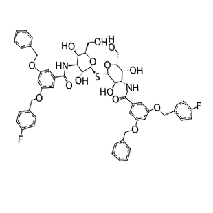 O=C(N[C@H]1[C@@H](O)[C@@H](CO)O[C@@H](S[C@@H]2O[C@H](CO)[C@H](O)[C@H](NC(=O)c3cc(OCc4ccccc4)cc(OCc4ccc(F)cc4)c3)[C@H]2O)[C@@H]1O)c1cc(OCc2ccccc2)cc(OCc2ccc(F)cc2)c1